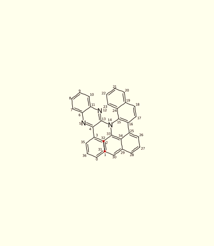 c1ccc(-c2nc3ccccc3nc2N2c3c(ccc4ccccc34)-c3cccc4cccc2c34)cc1